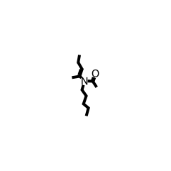 CC/C=C(\C)N(CCCCC)C(C)=O